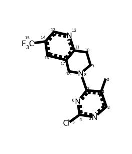 Cc1cnc(Cl)nc1N1CCc2ncc(C(F)(F)F)cc2C1